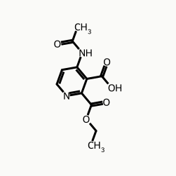 CCOC(=O)c1nccc(NC(C)=O)c1C(=O)O